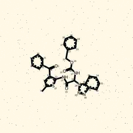 Cc1cc(C(=O)c2ccccc2)c(NC(=O)C(NC(=O)OCc2ccccc2)n2nnc3ccccc32)s1